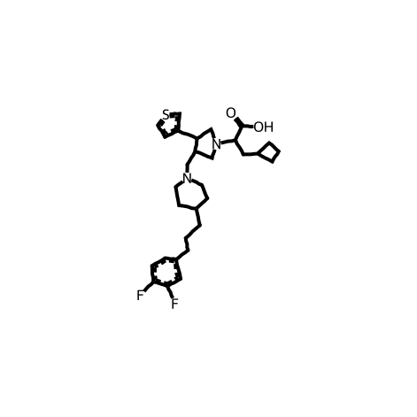 O=C(O)C(CC1CCC1)N1CC(CN2CCC(CCCc3ccc(F)c(F)c3)CC2)C(c2ccsc2)C1